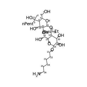 CCCCCC(C)(O)C1C(CO)OC(OC(CC)(CCC)C2C(CO)OC(OCCCCCCN)C(O)C2O)C(O)C1O